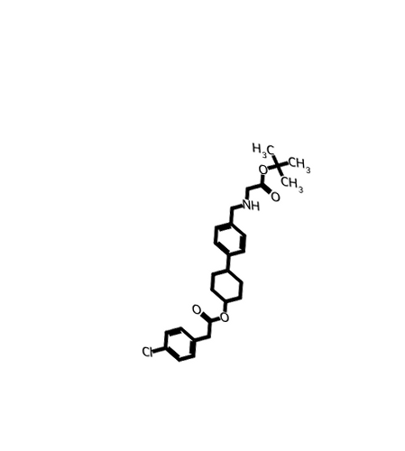 CC(C)(C)OC(=O)CNCc1ccc(C2CCC(OC(=O)Cc3ccc(Cl)cc3)CC2)cc1